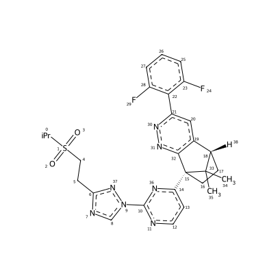 CC(C)S(=O)(=O)CCc1ncn(-c2nccc([C@]34CC[C@@H](c5cc(-c6c(F)cccc6F)nnc53)C4(C)C)n2)n1